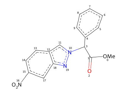 COC(=O)C(c1ccccc1)n1cc2ccc([N+](=O)[O-])cc2n1